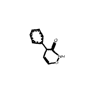 O=C1NOC=CC1c1ccccc1